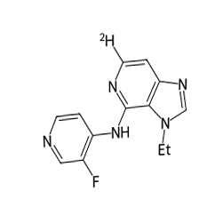 [2H]c1cc2ncn(CC)c2c(Nc2ccncc2F)n1